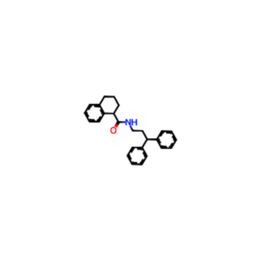 O=C(NCCC(c1ccccc1)c1ccccc1)C1CCCc2ccccc21